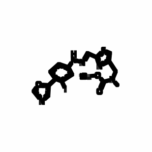 CN(Cc1csc(C=NNc2ccc(-c3cnco3)c(I)c2)n1)C(=O)OC(C)(C)C